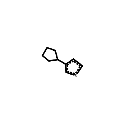 c1cc([C]2CCCC2)cs1